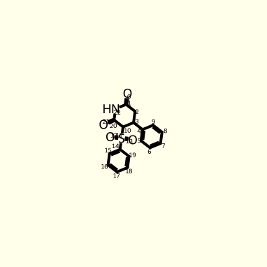 O=C1CC(c2ccccc2)C(S(=O)(=O)c2ccccc2)C(=O)N1